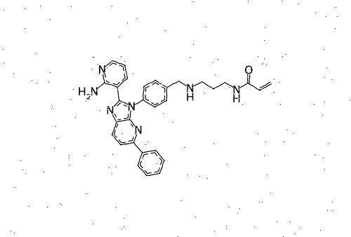 C=CC(=O)NCCCNCc1ccc(-n2c(-c3cccnc3N)nc3ccc(-c4ccccc4)nc32)cc1